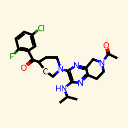 CC(=O)N1CCc2nc(NC(C)C)c(N3CCC(C(=O)c4cc(Cl)ccc4F)CC3)nc2C1